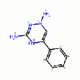 NC1=NN(N)C=C(c2ccccc2)N1